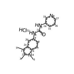 Cc1c(C)n(C)c2ccc(NC(=O)Nc3cccnc3)cc12.Cl